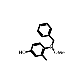 CON(Cc1ccccc1)c1ccc(O)cc1C